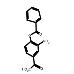 O=C(O)C(=O)c1ccc(OC(=O)c2ccccc2)c([N+](=O)[O-])c1